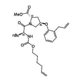 C=CCCCCOC(=O)N[C@@H](CCCC)C(=O)N1C[C@H](Oc2ccccc2CC=C)C[C@H]1C(=O)OC